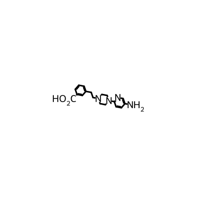 Nc1ccc(N2CCN(CCc3cccc(C(=O)O)c3)CC2)nc1